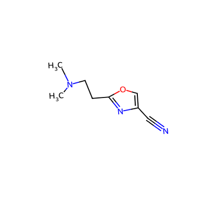 CN(C)CCc1nc(C#N)co1